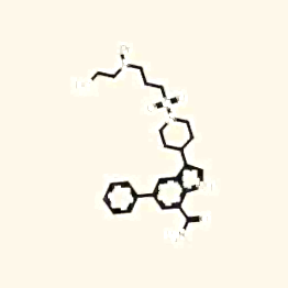 CC(C)N(CCO)CCCS(=O)(=O)N1CCC(c2c[nH]c3c(C(N)=O)cc(-c4ccccc4)cc23)CC1